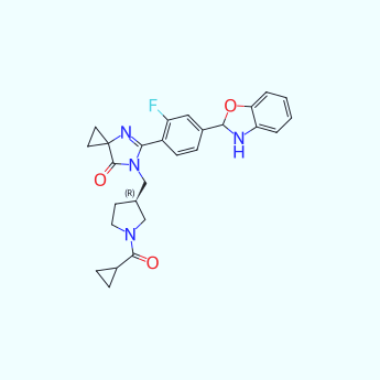 O=C(C1CC1)N1CC[C@@H](CN2C(=O)C3(CC3)N=C2c2ccc(C3Nc4ccccc4O3)cc2F)C1